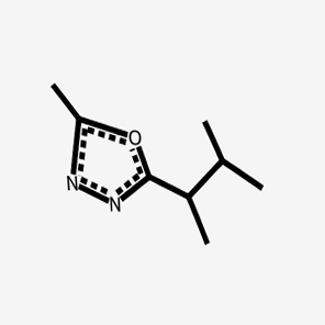 Cc1nnc(C(C)C(C)C)o1